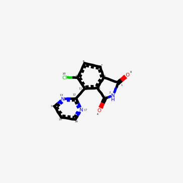 O=C1NC(=O)c2c1ccc(Cl)c2-c1ncccn1